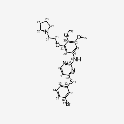 COc1cc(Nc2nccc(Sc3cccc(Br)c3)n2)cc(OCCN2CCCC2)c1OC